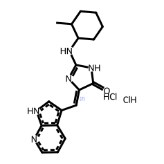 CC1CCCCC1NC1=N/C(=C\c2c[nH]c3ncccc23)C(=O)N1.Cl.Cl